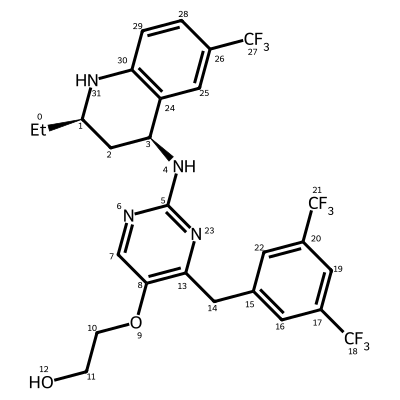 CC[C@@H]1C[C@H](Nc2ncc(OCCO)c(Cc3cc(C(F)(F)F)cc(C(F)(F)F)c3)n2)c2cc(C(F)(F)F)ccc2N1